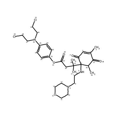 CC1=CC(=O)C(NCCN2CCOCC2)(C(C)(C)CC(=O)Oc2ccc(N(CCCl)CCCl)cc2)C(C)C1=O